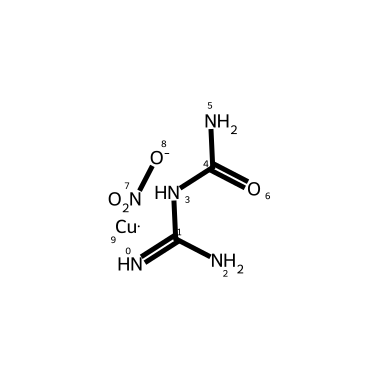 N=C(N)NC(N)=O.O=[N+]([O-])[O-].[Cu]